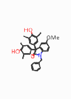 COc1ccc2c(c1)C(c1cc(C)c(O)c(C)c1)(c1cc(C)c(O)c(C)c1)C(=O)N2Cc1ccccc1